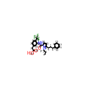 CC[C@H](C)n1c(CCCc2ccccc2)ccc1C(=O)Nc1cc(CC(=O)O)ccc1C(F)(F)F